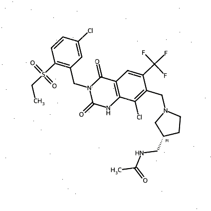 CCS(=O)(=O)c1ccc(Cl)cc1Cn1c(=O)[nH]c2c(Cl)c(CN3CC[C@H](CNC(C)=O)C3)c(C(F)(F)F)cc2c1=O